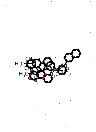 CC(C)(C)c1ccc2c(c1)C1(c3cc(C(C)(C)C)ccc3-2)c2ccccc2-c2cccc(N(c3cccc(-c4ccc5ccccc5c4)c3)c3ccccc3-c3cccc4c3-c3ccccc3C4(C)C)c21